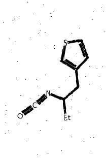 CCC(Cc1ccsc1)N=C=O